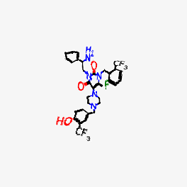 Cc1c(N2CCN(Cc3ccc(O)c(C(F)(F)F)c3)CC2)c(=O)n(C[C@H](N)c2ccccc2)c(=O)n1Cc1c(F)cccc1C(F)(F)F